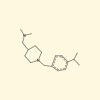 CC(C)c1ccc(CN2CCC(CN(C)C)CC2)cc1